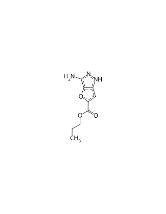 CCCOC(=O)c1cc2[nH]nc(N)c2o1